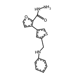 NNC(=O)c1occc1-c1csc(CNc2ccccc2)c1